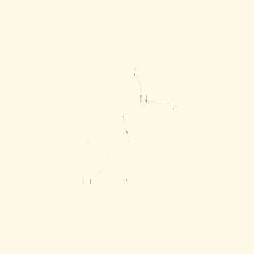 CCCS(=O)(=O)CCN(F)Br